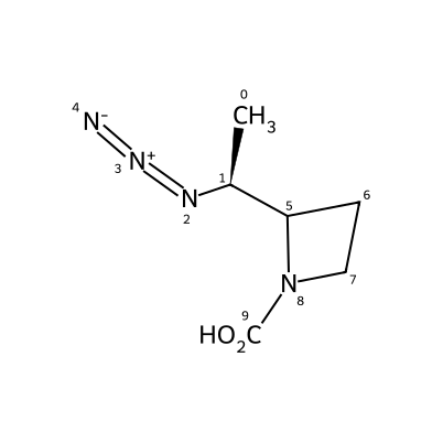 C[C@H](N=[N+]=[N-])C1CCN1C(=O)O